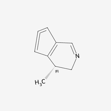 C[C@H]1CN=CC2=C1C=C=C2